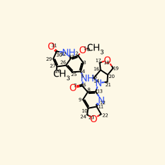 COc1cc(NC(=O)c2cc3c(nc2N2CC4COCC4C2)COC3)cc2c(C)cc(=O)[nH]c12